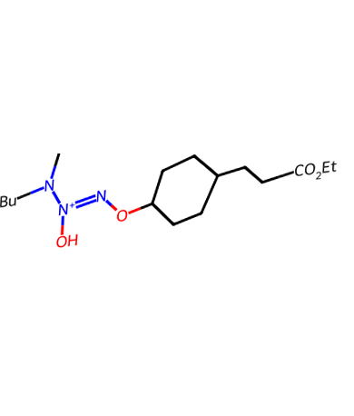 CCOC(=O)CCC1CCC(O/N=[N+](\O)N(C)C(C)(C)C)CC1